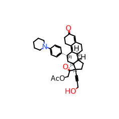 CC(=O)OCC(=O)[C@@]1(C#CCO)CC[C@H]2[C@@H]3CCC4=CC(=O)CCC4=C3[C@@H](c3ccc(N4CCCCC4)cc3)C[C@@]21C